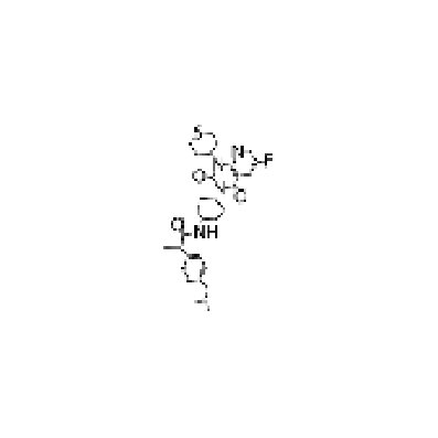 CC(C)Cc1ccc(C(C)C(=O)N[C@H]2CC[C@@H](n3c(=O)c4cc(F)cnc4n(C4CCSCC4)c3=O)CC2)cc1